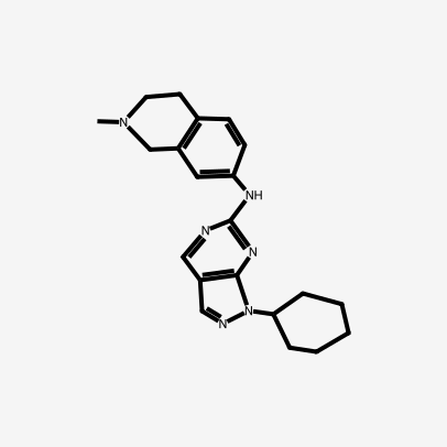 CN1CCc2ccc(Nc3ncc4cnn(C5CCCCC5)c4n3)cc2C1